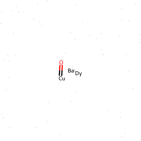 [Ba].[Dy].[O]=[Cu]